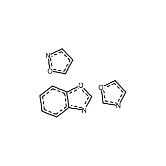 c1ccc2ocnc2c1.c1cnoc1.c1cocn1